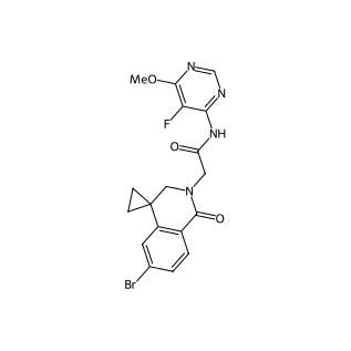 COc1ncnc(NC(=O)CN2CC3(CC3)c3cc(Br)ccc3C2=O)c1F